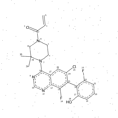 C=CC(=O)N1CCN(c2ncnc3c(F)c(-c4c(O)cccc4F)c(Cl)cc23)C(C)(C)C1